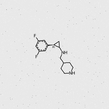 Fc1cc(F)cc([C@H]2CC2NCC2CCNCC2)c1